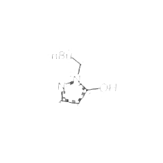 CCCCCn1nccc1O